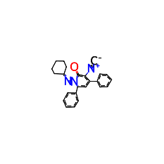 [C-]#[N+]c1c(-c2ccccc2)cc(-c2ccccc2)n(N=C2CCCCC2)c1=O